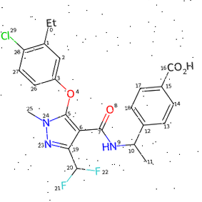 CCc1cc(Oc2c(C(=O)NC(C)c3ccc(C(=O)O)cc3)c(C(F)F)nn2C)ccc1Cl